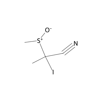 C[S+]([O-])C(C)(I)C#N